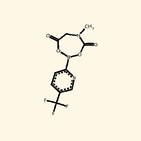 CN1CC(=O)OB(c2ccc(C(F)(F)F)cn2)OC1=O